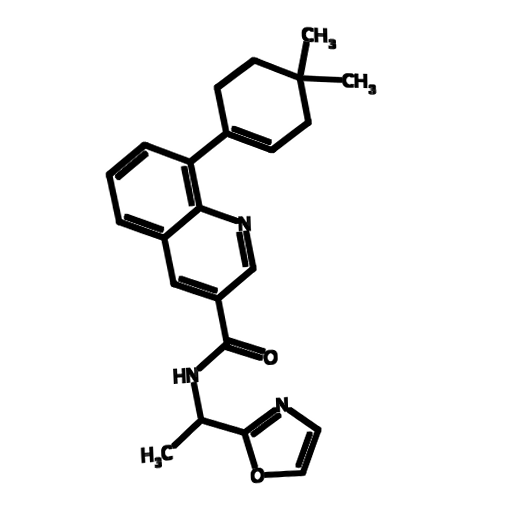 CC(NC(=O)c1cnc2c(C3=CCC(C)(C)CC3)cccc2c1)c1ncco1